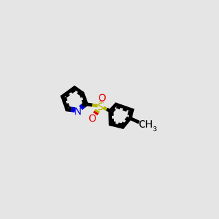 Cc1ccc(S(=O)(=O)c2ccccn2)cc1